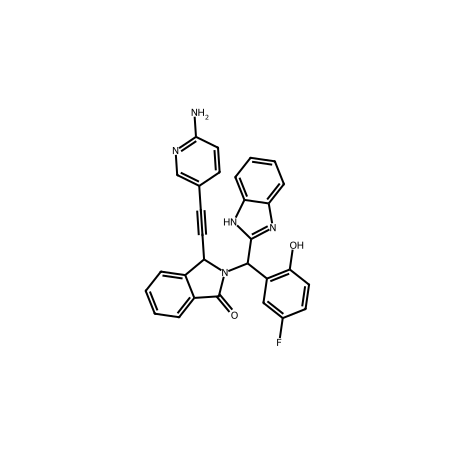 Nc1ccc(C#CC2c3ccccc3C(=O)N2C(c2nc3ccccc3[nH]2)c2cc(F)ccc2O)cn1